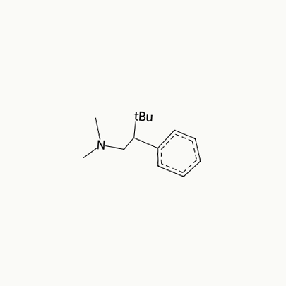 CN(C)CC(c1ccccc1)C(C)(C)C